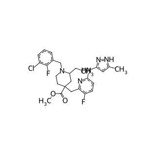 CCC1CC(Cc2nc(Nc3cc(C)[nH]n3)ccc2F)(C(=O)OC)CCN1Cc1cccc(Cl)c1F